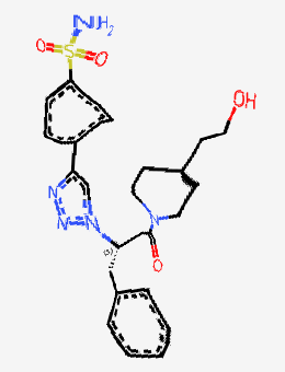 NS(=O)(=O)c1ccc(-c2cn([C@@H](Cc3ccccc3)C(=O)N3CCC(CCO)CC3)nn2)cc1